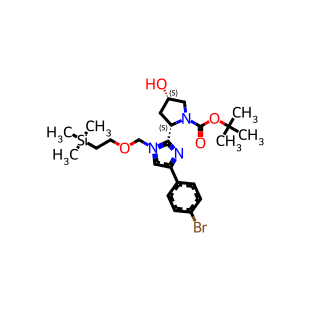 CC(C)(C)OC(=O)N1C[C@@H](O)C[C@H]1c1nc(-c2ccc(Br)cc2)cn1COCC[Si](C)(C)C